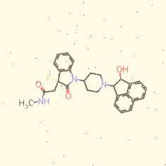 CNC(=O)C[C@]1(F)C(=O)N(C2CCN(C3c4cccc5cccc(c45)[C@@H]3O)CC2)c2ccccc21